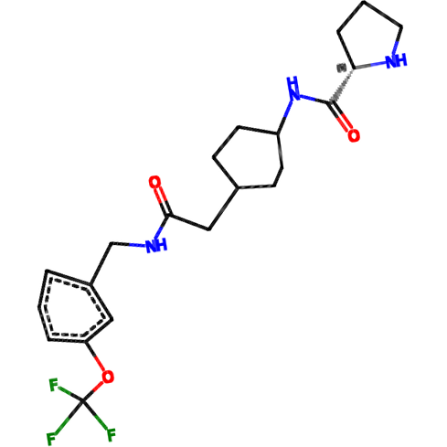 O=C(CC1CCC(NC(=O)[C@@H]2CCCN2)CC1)NCc1cccc(OC(F)(F)F)c1